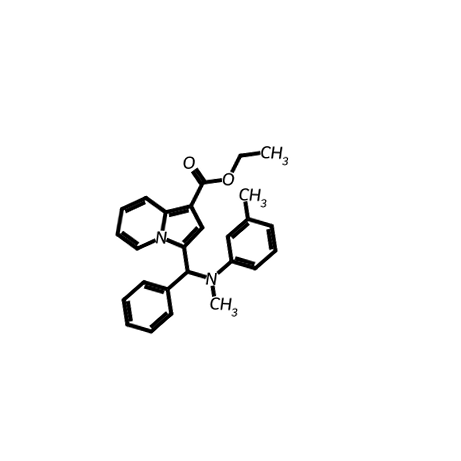 CCOC(=O)c1cc(C(c2ccccc2)N(C)c2cccc(C)c2)n2ccccc12